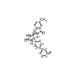 Cc1ccc2c(c1)C(=O)N(C[C@@]1(c3ccc(-c4cccc(F)c4)cc3)NC(=O)NC1=O)C2